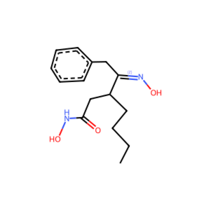 CCCCC(CC(=O)NO)/C(Cc1ccccc1)=N\O